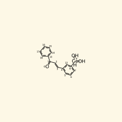 O=C(C=Cc1ccc[c]([GeH]([OH])[OH])c1)c1ccccc1